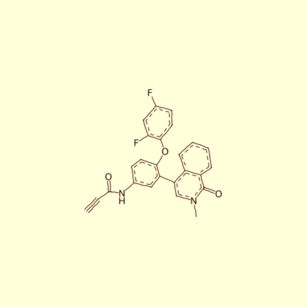 C#CC(=O)Nc1ccc(Oc2ccc(F)cc2F)c(-c2cn(C)c(=O)c3ccccc23)c1